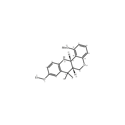 CCOc1ccc2c(c1)C(C)(C)[C@H]1COc3cccc(OC)c3[C@H]1N2